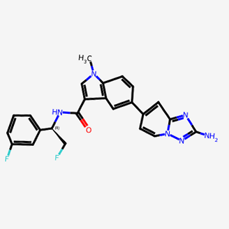 Cn1cc(C(=O)N[C@@H](CF)c2cccc(F)c2)c2cc(-c3ccn4nc(N)nc4c3)ccc21